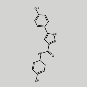 O=C(NC1C=CC(O)=CC1)c1cc(-c2ccc(O)cc2)[nH]n1